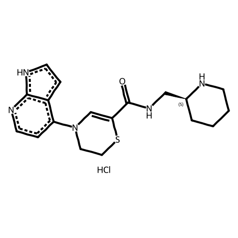 Cl.O=C(NC[C@@H]1CCCCN1)C1=CN(c2ccnc3[nH]ccc23)CCS1